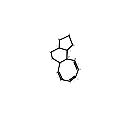 [C]1CCC2CCC3\C=C/C=C\C=C/C3C12